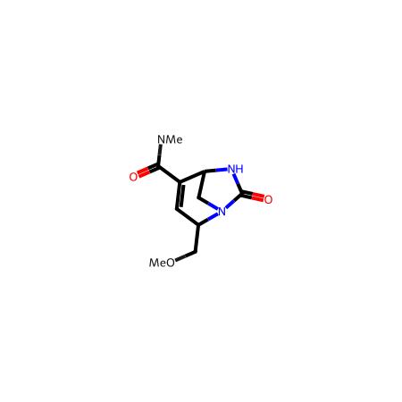 CNC(=O)C1=CC(COC)N2CC1NC2=O